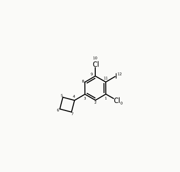 Clc1cc(C2CCC2)cc(Cl)c1I